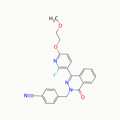 COCCOc1ccc(-c2nn(Cc3ccc(C#N)cc3)c(=O)c3ccccc23)c(F)n1